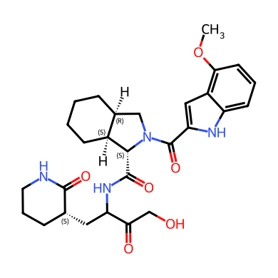 COc1cccc2[nH]c(C(=O)N3C[C@@H]4CCCC[C@@H]4[C@H]3C(=O)NC(C[C@@H]3CCCNC3=O)C(=O)CO)cc12